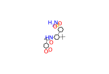 CC(C)(C)c1ccc(NC(=O)C2(c3ccc4c(c3)OCO4)CC2)cc1-c1cccc(S(N)(=O)=O)c1